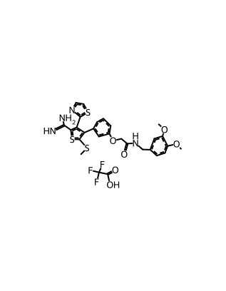 COc1ccc(CNC(=O)COc2cccc(-c3c(SC)sc(C(=N)N)c3-c3nccs3)c2)cc1OC.O=C(O)C(F)(F)F